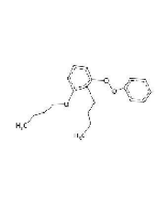 CCCCOc1cccc(OOc2ccccc2)c1CCCC